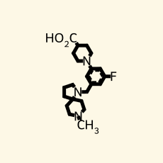 CN1CCC2(CCCN2Cc2cc(F)cc(N3CCC(C(=O)O)CC3)c2)CC1